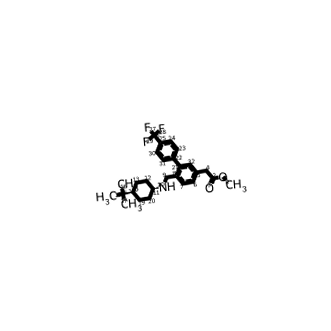 COC(=O)Cc1ccc(CN[C@H]2CC[C@H](C(C)(C)C)CC2)c(-c2ccc(C(F)(F)F)cc2)c1